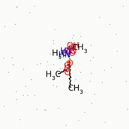 CCCCCCCCCCC[C@H](CC(=O)OCCSC[C@H](NC(C)=O)C(=O)N[C@@H](CO)C(=O)OC)OC(=O)CCCCC